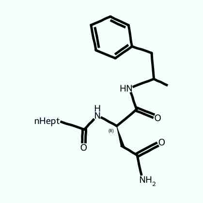 CCCCCCCC(=O)N[C@H](CC(N)=O)C(=O)NC(C)Cc1ccccc1